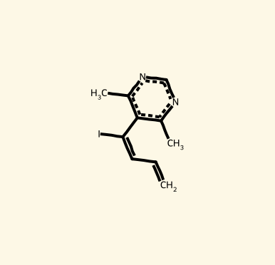 C=C/C=C(/I)c1c(C)ncnc1C